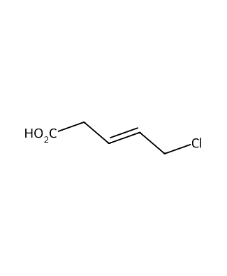 O=C(O)CC=CCCl